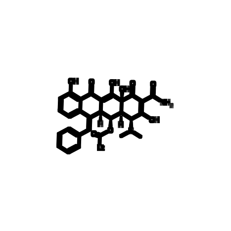 CCC(=O)O[C@@H]1[C@@H]2[C@H](N(C)C)C(O)=C(C(N)=O)C(=O)[C@@]2(O)C(O)=C2C(=O)c3c(O)cccc3/C(=C\c3ccccc3)[C@@H]21